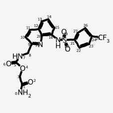 NC(=O)COC(=O)NCc1ccc2cccc(NS(=O)(=O)c3ccc(C(F)(F)F)cc3)c2n1